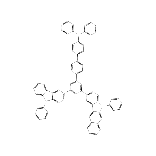 c1ccc(N(c2ccccc2)c2ccc(-c3ccc(-c4cc(-c5ccc6c(c5)c5ccccc5n6-c5ccccc5)cc(-c5ccc6c(c5)c5cc7ccccc7cc5n6-c5ccccc5)c4)cc3)cc2)cc1